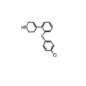 Clc1ccc(Sc2ccccc2C2=CCNCC2)cc1